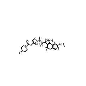 CC1(C)Cc2cnc(N)nc2-c2[nH]nc(C(=O)NC3NC(CC(=O)N4CCC(=O)CC4)=CS3)c21